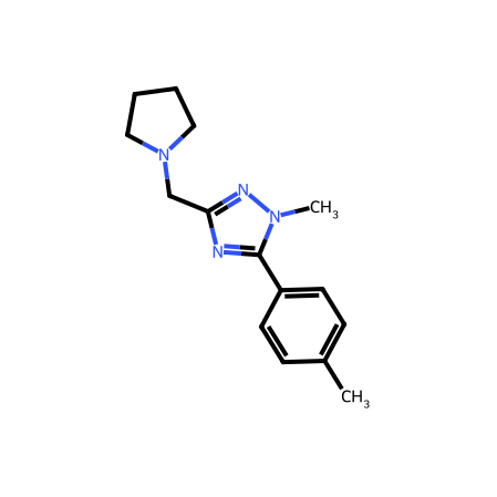 Cc1ccc(-c2nc(CN3CCCC3)nn2C)cc1